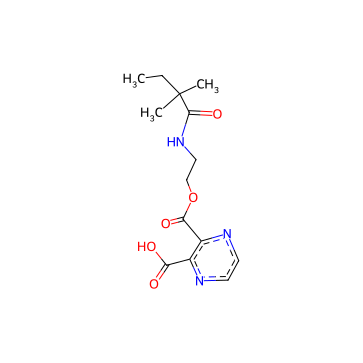 CCC(C)(C)C(=O)NCCOC(=O)c1nccnc1C(=O)O